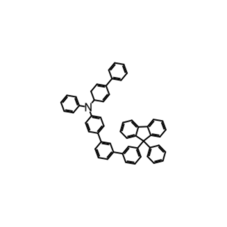 C1=CC(N(c2ccccc2)c2ccc(-c3cccc(-c4cccc(C5(c6ccccc6)c6ccccc6-c6ccccc65)c4)c3)cc2)CC=C1c1ccccc1